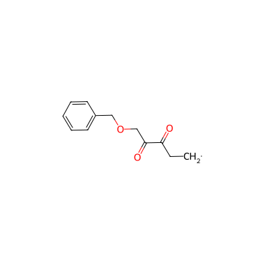 [CH2]CC(=O)C(=O)COCc1ccccc1